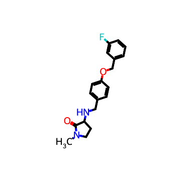 CN1CCC(NCc2ccc(OCc3cccc(F)c3)cc2)C1=O